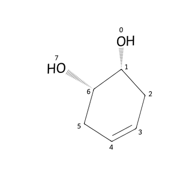 O[C@@H]1CC=CC[C@@H]1O